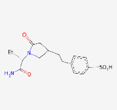 CC[C@@H](C(N)=O)N1CC(CCc2ccc(S(=O)(=O)O)cc2)CC1=O